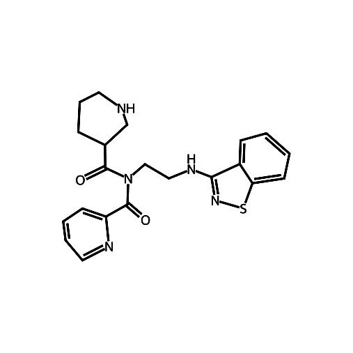 O=C(c1ccccn1)N(CCNc1nsc2ccccc12)C(=O)C1CCCNC1